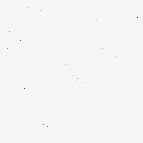 CC/C(=C\c1ccc(N/N=C2\C(=O)N(c3ccc(C)c(C)c3)c3cc(C(F)(F)F)ccc32)c(O)c1)C(=O)O